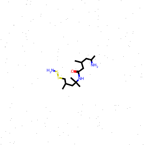 CC(N)CC(C)CC(=O)NC(C)(C)CC(C)CSSN